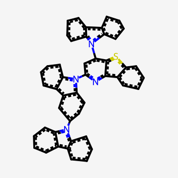 c1ccc2c(c1)sc1c(-n3c4ccccc4c4ccccc43)cc(-n3c4ccccc4c4cc(-n5c6ccccc6c6ccccc65)ccc43)nc12